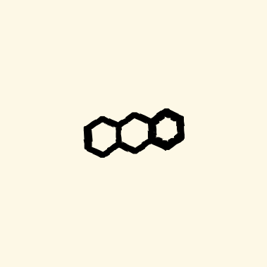 C1=CCC2Cc3ccccc3CC2C1